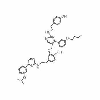 CCCCOc1cccc(-c2nc(NCCc3ccc(O)cc3)ncc2COc2cc(CCNc3nccc(-c4cccc(OC(C)C)c4)n3)ccc2O)c1